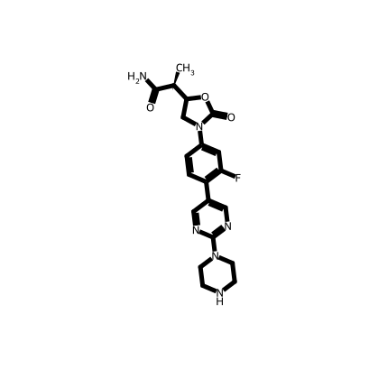 C[C@H](C(N)=O)C1CN(c2ccc(-c3cnc(N4CCNCC4)nc3)c(F)c2)C(=O)O1